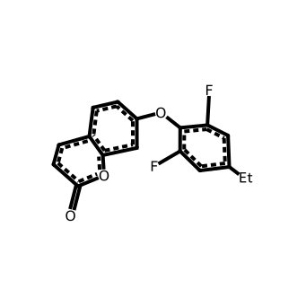 CCc1cc(F)c(Oc2ccc3ccc(=O)oc3c2)c(F)c1